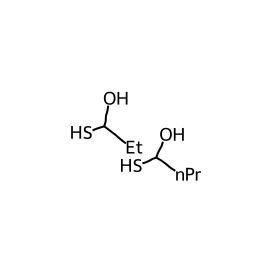 CCC(O)S.CCCC(O)S